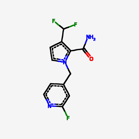 NC(=O)c1c(C(F)F)ccn1Cc1ccnc(F)c1